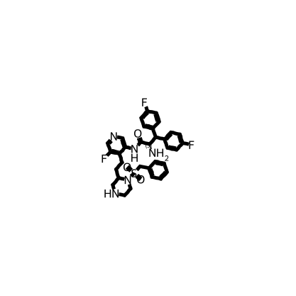 N[C@H](C(=O)Nc1cncc(F)c1CCC1CNCCN1S(=O)(=O)Cc1ccccc1)C(c1ccc(F)cc1)c1ccc(F)cc1